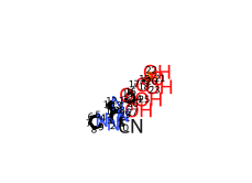 N#Cc1nc(N2CCCCC2)c2ccn([C@@H]3O[C@H](COCP(=O)(O)O)[C@@H](O)[C@H]3O)c2n1